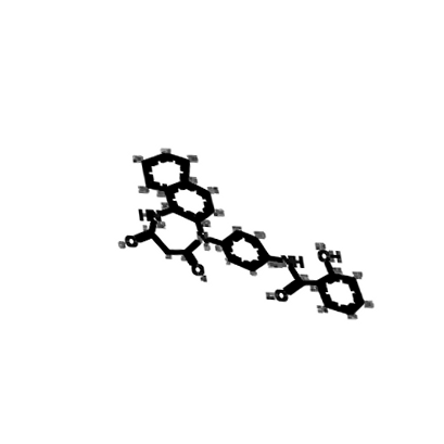 O=C1CC(=O)N(c2ccc(NC(=O)c3ccccc3O)cc2)c2ccc3ccccc3c2N1